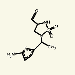 CC(c1ccc(N)s1)N1CC(C=O)NS1(=O)=O